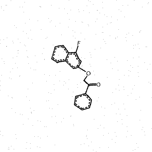 O=C(COc1cc(F)c2ccccc2c1)c1ccccc1